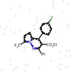 CCOC(=O)c1c(C(C)C)nn2c(C(F)(F)F)ccc2c1-c1ccc(F)cc1